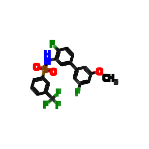 COc1cc(F)cc(-c2ccc(F)c(NS(=O)(=O)c3cccc(C(F)(F)F)c3)c2)c1